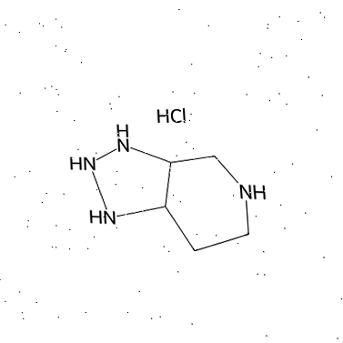 C1CC2NNNC2CN1.Cl